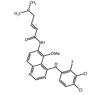 COc1c(NC(=O)/C=C/CN(C)C)ccc2ncnc(Nc3ccc(Cl)c(Cl)c3F)c12